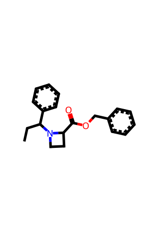 CCC(c1ccccc1)N1CCC1C(=O)OCc1ccccc1